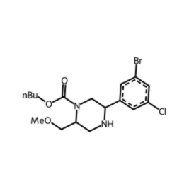 CCCCOC(=O)N1CC(c2cc(Cl)cc(Br)c2)NCC1COC